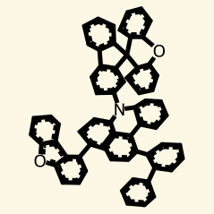 c1ccc(-c2ccccc2-c2ccccc2-c2ccccc2N(c2ccc(-c3cccc4oc5ccccc5c34)cc2)c2ccc3c(c2)C2(c4ccccc4Oc4ccccc42)c2ccccc2-3)cc1